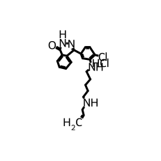 C=CCNCCCCCNc1cc(-c2n[nH]c(=O)c3ccccc23)ccc1Cl.Cl